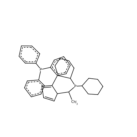 CC(C1C=CC=C1c1ccccc1P(c1ccccc1)c1ccccc1)P(C1CCCCC1)C1CCCCC1